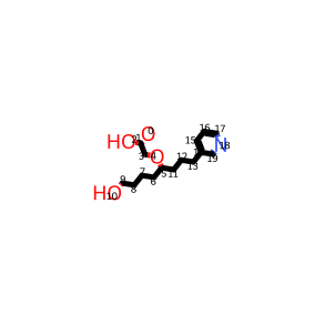 O=C(O)COC(CCCCO)CCCc1cccnc1